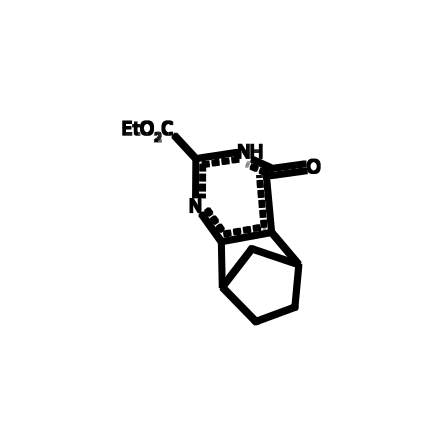 CCOC(=O)c1nc2c(c(=O)[nH]1)C1CCC2C1